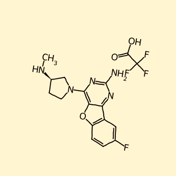 CN[C@@H]1CCN(c2nc(N)nc3c2oc2ccc(F)cc23)C1.O=C(O)C(F)(F)F